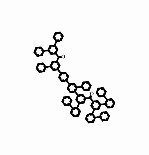 O=C(c1cc(-c2ccccc2)cc(-c2ccccc2)c1)c1cc(-c2ccccc2)cc(-c2ccc(-c3ccc(-c4cc(C(=O)c5cc(-c6ccccc6-c6ccccc6)cc(-c6ccccc6-c6ccccc6)c5)cc(-c5ccccc5-c5ccccc5)c4)c(-c4ccccc4)c3)cc2)c1